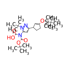 CC(C)(C)OC(=O)N(C(=O)O)c1cc(C2C=C(O[Si](C)(C)C(C)(C)C)CC2)nn1C(C)(C)C